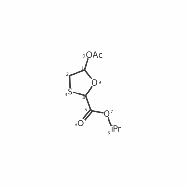 CC(=O)OC1CSC(C(=O)OC(C)C)O1